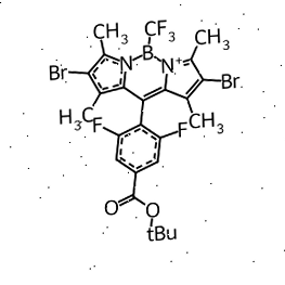 CC1=C(Br)C(C)=[N+]2B(C(F)(F)F)n3c(C)c(Br)c(C)c3C(c3c(F)cc(C(=O)OC(C)(C)C)cc3F)=C12